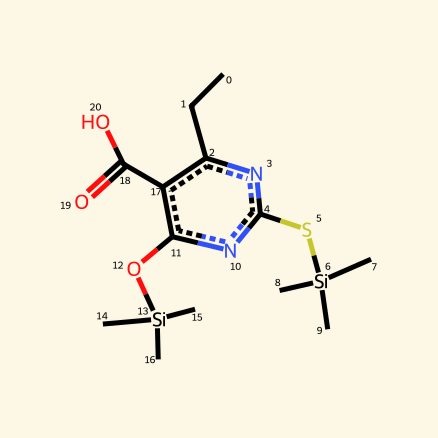 CCc1nc(S[Si](C)(C)C)nc(O[Si](C)(C)C)c1C(=O)O